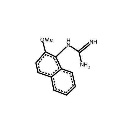 COc1ccc2ccccc2c1NC(=N)N